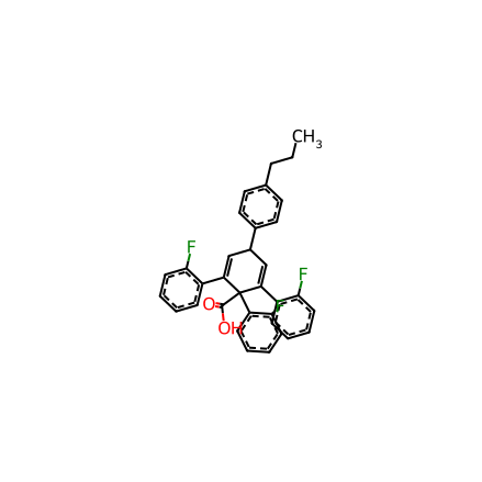 CCCc1ccc(C2C=C(c3ccccc3F)C(C(=O)O)(c3ccccc3F)C(c3ccccc3F)=C2)cc1